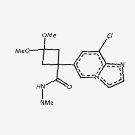 CNNC(=O)C1(c2cc(Cl)c3nccn3c2)CC(OC)(OC)C1